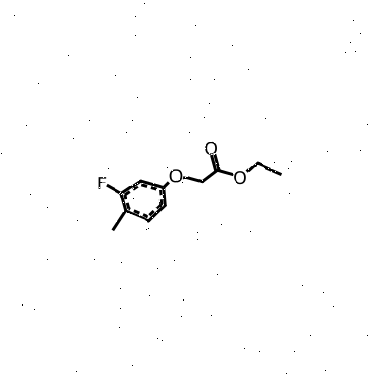 CCOC(=O)COc1ccc(C)c(F)c1